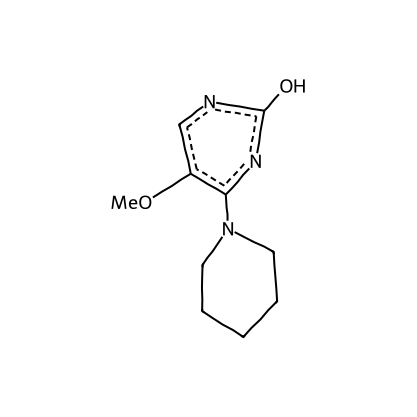 COc1cnc(O)nc1N1CCCCC1